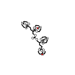 O=C(OCC(CC[Si]12OCCN(CCO1)CCO2)[Si]12OCCN(CCO1)CCO2)OCC(CC[Si]12OCCN(CCO1)CCO2)[Si]12OCCN(CCO1)CCO2